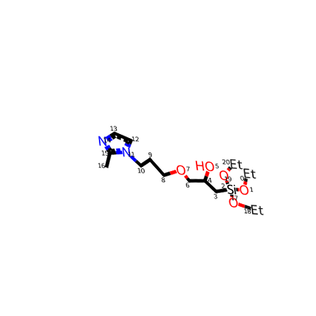 CCO[Si](CC(O)COCCCn1ccnc1C)(OCC)OCC